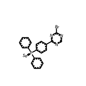 [Se]=P(c1ccccc1)(c1ccccc1)c1ccc(-c2ncnc(Br)n2)cc1